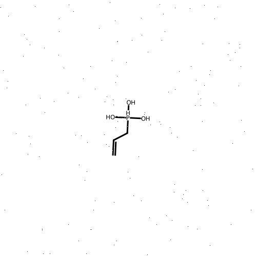 C=CC[PH](O)(O)O